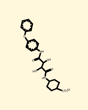 CCOC(=O)C1CCC(NC(=O)C(O)C(O)C(=O)Nc2ccc(Oc3ccccc3)cc2)CC1